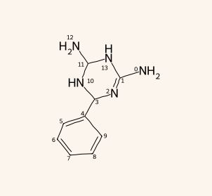 NC1=NC(c2ccccc2)NC(N)N1